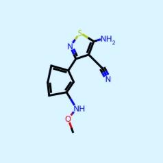 CONc1cccc(-c2nsc(N)c2C#N)c1